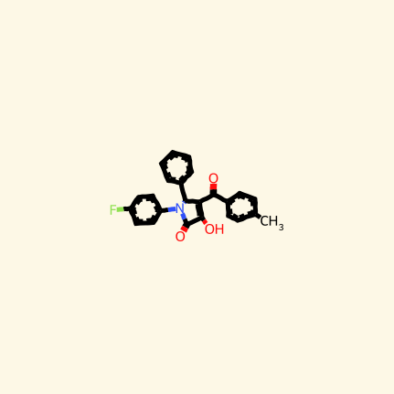 Cc1ccc(C(=O)C2=C(O)C(=O)N(c3ccc(F)cc3)C2c2ccccc2)cc1